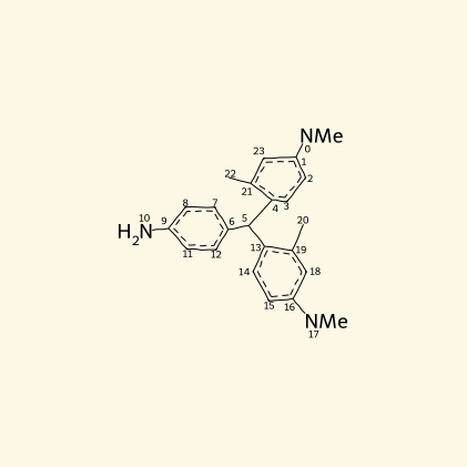 CNc1ccc(C(c2ccc(N)cc2)c2ccc(NC)cc2C)c(C)c1